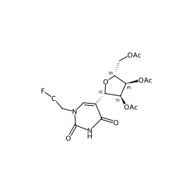 CC(=O)OC[C@H]1O[C@@H](c2cn(CCF)c(=O)[nH]c2=O)[C@H](OC(C)=O)[C@@H]1OC(C)=O